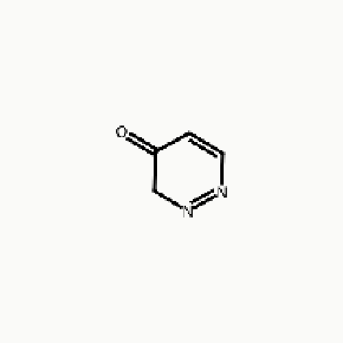 O=C1C=CN=NC1